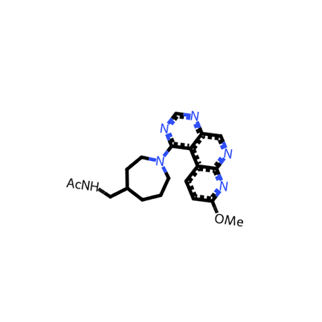 COc1ccc2c(ncc3ncnc(N4CCCC(CNC(C)=O)CC4)c32)n1